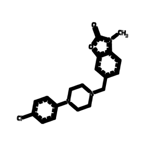 Cn1c(=O)oc2cc(CN3CCN(c4ccc(Cl)cc4)CC3)ccc21